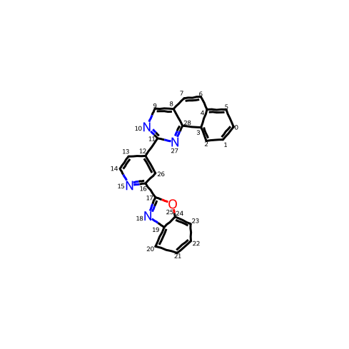 c1ccc2c(c1)ccc1cnc(-c3ccnc(-c4nc5ccccc5o4)c3)nc12